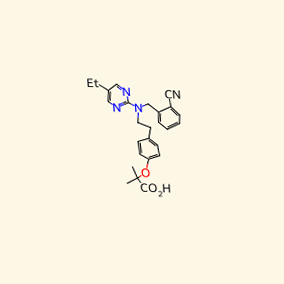 CCc1cnc(N(CCc2ccc(OC(C)(C)C(=O)O)cc2)Cc2ccccc2C#N)nc1